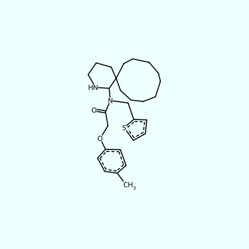 Cc1ccc(OCC(=O)N(Cc2cccs2)C2NCCCC23CCCCCCCCC3)cc1